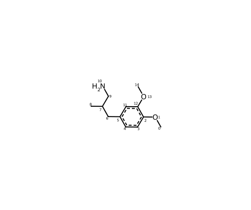 COc1ccc(CC(C)CN)cc1OC